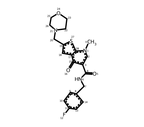 Cn1cc(C(=O)NCc2ccc(F)cc2)c(=O)c2cc(CN3CCOCC3)sc21